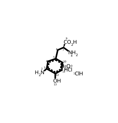 Cl.Cl.Nc1cc(C[C@H](N)C(=O)O)ccc1O.O